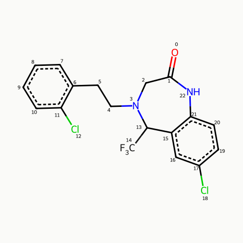 O=C1CN(CCc2ccccc2Cl)C(C(F)(F)F)c2cc(Cl)ccc2N1